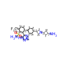 NC1CC(N2CC(c3ccc(-c4ccc(C(F)(F)F)c(S(N)(=O)=O)c4-c4nnn[nH]4)cc3)C2)C1